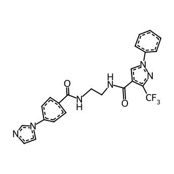 O=C(NCCNC(=O)c1cn(-c2ccccc2)nc1C(F)(F)F)c1ccc(-n2ccnc2)cc1